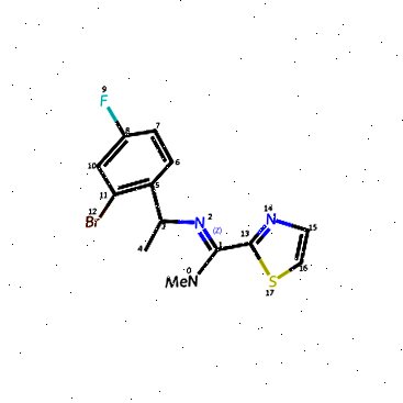 CN/C(=N\C(C)c1ccc(F)cc1Br)c1nccs1